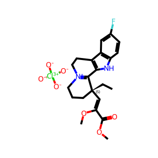 CC[C@@]1(C=C(OC)C(=O)OC)CCC[N+]2=C1c1[nH]c3ccc(F)cc3c1CC2.[O-][Cl+3]([O-])([O-])[O-]